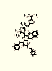 CC(C)c1nc(CN(C)C(=O)N[C@H](C(=O)N(C)[C@H](CC[C@H](Cc2ccccc2)NC(=O)OCc2cncs2)Cc2ccccc2)C(C)C)cs1